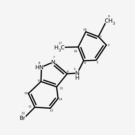 Cc1ccc(Nc2n[nH]c3cc(Br)ccc23)c(C)c1